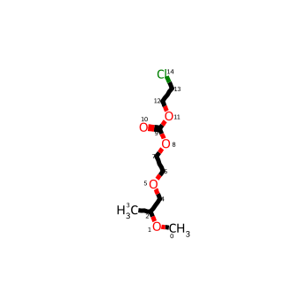 COC(C)COCCOC(=O)OCCCl